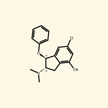 CN(C)[C@H]1Cc2c(C#N)cc(Cl)cc2[C@@H]1Oc1ccccc1